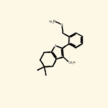 CC1(C)CCc2sc(-c3ccccc3CON)c(C(=O)O)c2C1